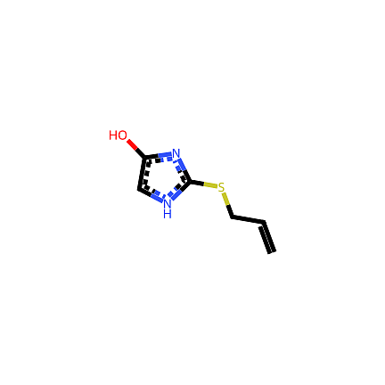 C=CCSc1nc(O)c[nH]1